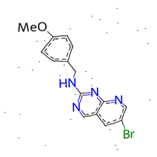 COc1ccc(CNc2ncc3cc(Br)cnc3n2)cc1